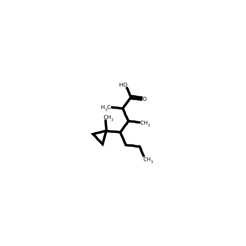 CCCC(C(C)C(C)C(=O)O)C1(C)CC1